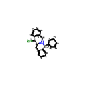 BrC[C@H](Cc1ccccc1)N(Cc1ccccc1)Cc1ccccc1